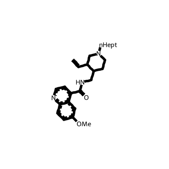 C=CC1CN(CCCCCCC)CCC1CNC(=O)c1ccnc2ccc(OC)cc12